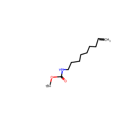 C=CCCCCCCCNC(=O)OC(C)(C)C